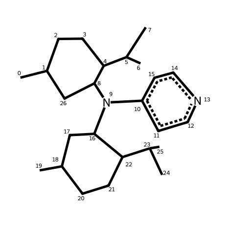 CC1CCC(C(C)C)C(N(c2ccncc2)C2CC(C)CCC2C(C)C)C1